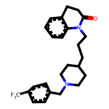 O=C1CCc2ccccc2N1CCCC1CCN(Cc2ccc(C(F)(F)F)cc2)CC1